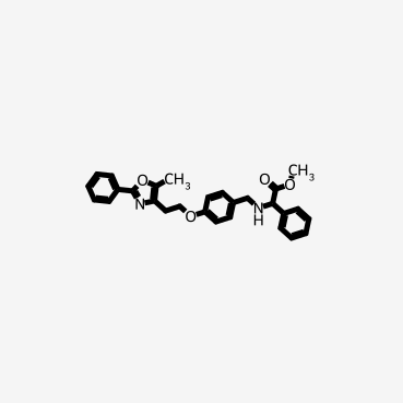 COC(=O)C(NCc1ccc(OCCc2nc(-c3ccccc3)oc2C)cc1)c1ccccc1